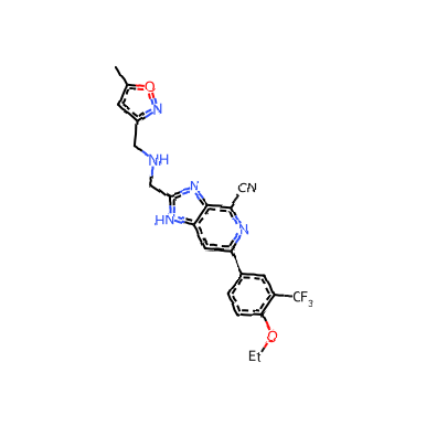 CCOc1ccc(-c2cc3[nH]c(CNCc4cc(C)on4)nc3c(C#N)n2)cc1C(F)(F)F